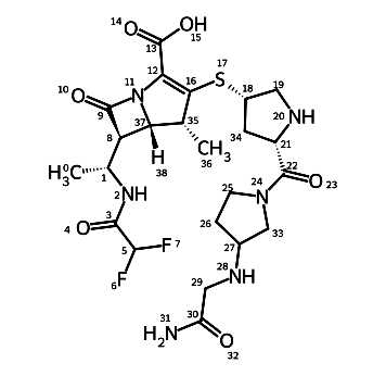 C[C@@H](NC(=O)C(F)F)[C@H]1C(=O)N2C(C(=O)O)=C(S[C@@H]3CN[C@H](C(=O)N4CCC(NCC(N)=O)C4)C3)[C@H](C)[C@H]12